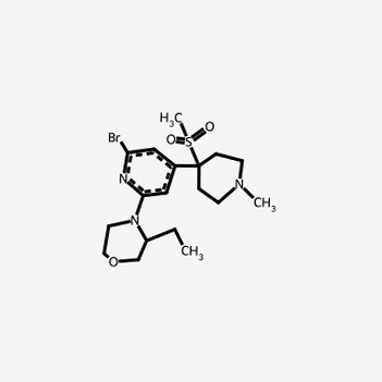 CCC1COCCN1c1cc(C2(S(C)(=O)=O)CCN(C)CC2)cc(Br)n1